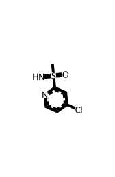 CS(=N)(=O)c1cc(Cl)ccn1